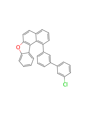 Clc1cccc(-c2cccc(-c3cccc4ccc5oc6ccccc6c5c34)c2)c1